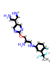 CC(F)(F)c1cc(N/C=C(\N)COc2ncc(/C(C=N)=C/N)cn2)ccc1F